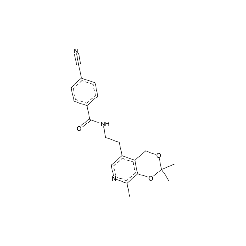 Cc1ncc(CCNC(=O)c2ccc(C#N)cc2)c2c1OC(C)(C)OC2